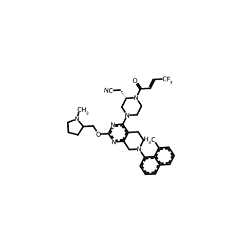 Cc1cccc2cccc(N3CCc4c(nc(OCC5CCCN5C)nc4N4CCN(C(=O)/C=C/C(F)(F)F)[C@@H](CC#N)C4)C3)c12